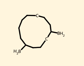 BC1CCCCCCCC(B)CCC1